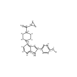 COc1ccc(-c2cc3c(N4CCN(C(=O)C5CC5)CC4)ccnc3[nH]2)cn1